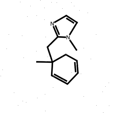 Cn1ccnc1CC1(C)C=CC=CC1